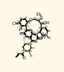 C=CC(=O)N1C[C@H](C)N(c2nc(=O)n3c4nc(c(C)cc24)-c2c(ccc(Cl)c2F)OCC(OCC)C(O)C2=C3C(C(C)C)N(C)C=C2)C[C@H]1C